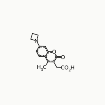 Cc1c(CC(=O)O)c(=O)oc2cc(N3CCC3)ccc12